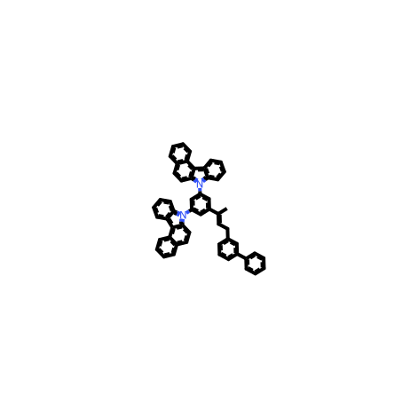 C/C(=C\Cc1cccc(-c2ccccc2)c1)c1cc(-n2c3ccccc3c3c4ccccc4ccc32)cc(-n2c3ccccc3c3c4ccccc4ccc32)c1